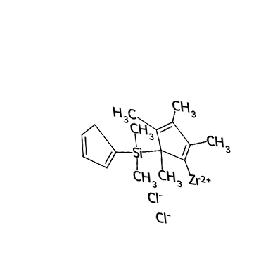 CC1=C(C)C(C)([Si](C)(C)C2=CC=CC2)[C]([Zr+2])=C1C.[Cl-].[Cl-]